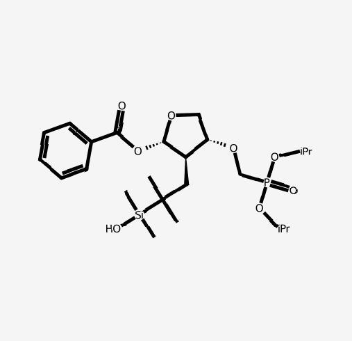 CC(C)OP(=O)(CO[C@H]1CO[C@@H](OC(=O)c2ccccc2)[C@@H]1CC(C)(C)[Si](C)(C)O)OC(C)C